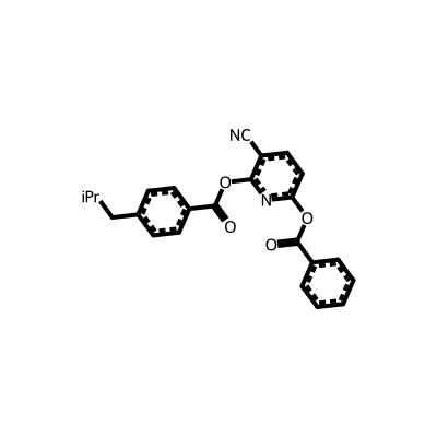 CC(C)Cc1ccc(C(=O)Oc2nc(OC(=O)c3ccccc3)ccc2C#N)cc1